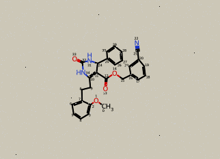 COc1ccccc1CCC1=C(C(=O)OCc2cccc(C#N)c2)C(c2ccccc2)NC(=O)N1